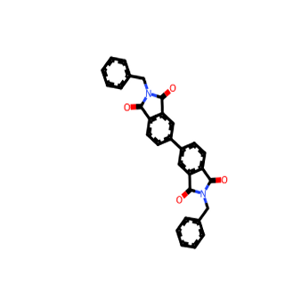 O=C1c2ccc(-c3ccc4c(c3)C(=O)N(Cc3ccccc3)C4=O)cc2C(=O)N1Cc1ccccc1